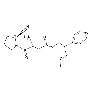 COCC(CNC(=O)CC(N)C(=O)N1CCC[C@H]1C#N)c1ccccc1